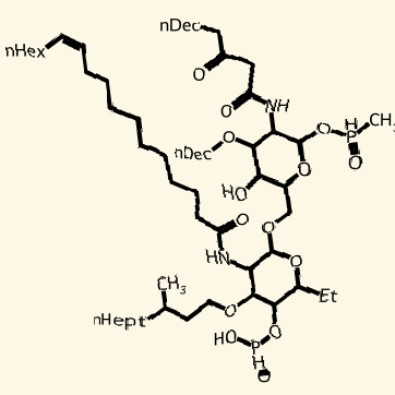 CCCCCC/C=C\CCCCCCCCCC(=O)NC1C(OCC2OC(O[PH](C)=O)C(NC(=O)CC(=O)CCCCCCCCCCC)C(OCCCCCCCCCC)C2O)OC(CC)C(O[PH](=O)O)C1OCCC(C)CCCCCCC